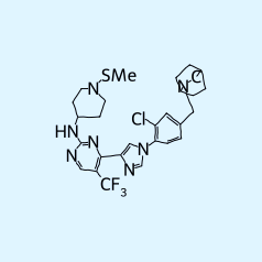 CSN1CCC(Nc2ncc(C(F)(F)F)c(-c3cn(-c4ccc(CN5CC6CCC5CC6)cc4Cl)cn3)n2)CC1